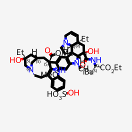 CCOC(=O)[C@@H](NC(=O)[C@@]1(O)C[C@]2(CC)C=CCN3CC[C@@]4(c5cc([C@@]6(C(=O)OC)C[C@@H]7C[N@](CCc8c6[nH]c6ccccc86)C[C@](O)(CC)C7)c(OC)cc5N(C)[C@H]41)[C@@H]32)[C@@H](C)CC.O=S(=O)(O)O